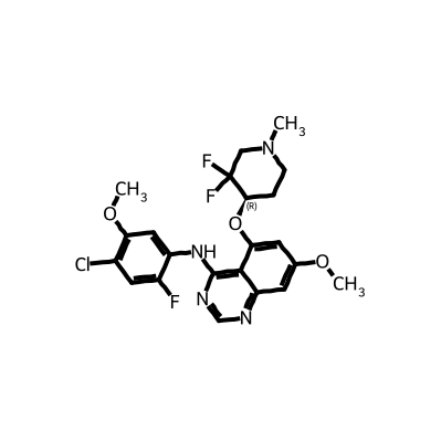 COc1cc(O[C@@H]2CCN(C)CC2(F)F)c2c(Nc3cc(OC)c(Cl)cc3F)ncnc2c1